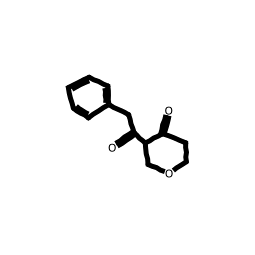 O=C1CCOCC1C(=O)Cc1ccccc1